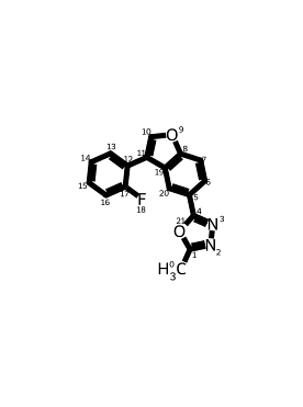 Cc1nnc(-c2ccc3occ(-c4ccccc4F)c3c2)o1